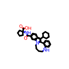 O=C(NC1(C(=O)O)CCCC1)c1ccc2c(C3CCCCC3)c3n(c2c1)CCCCNc1ccccc1-3